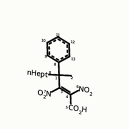 CCCCCCCC(C)(/C(=C(/C(=O)O)[N+](=O)[O-])[N+](=O)[O-])c1ccccc1